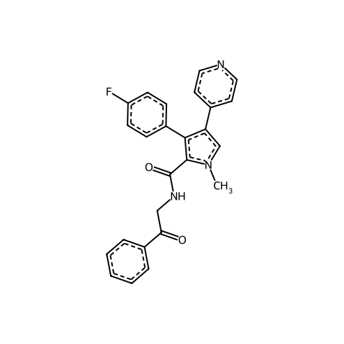 Cn1cc(-c2ccncc2)c(-c2ccc(F)cc2)c1C(=O)NCC(=O)c1ccccc1